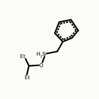 CCC(CC)O[SiH2]Cc1ccccc1